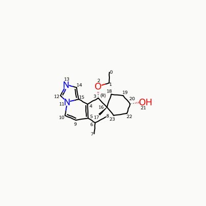 CCO[C@@H](c1c(C(C)C)ccn2cncc12)[C@]1(C)CC[C@H](O)CC1